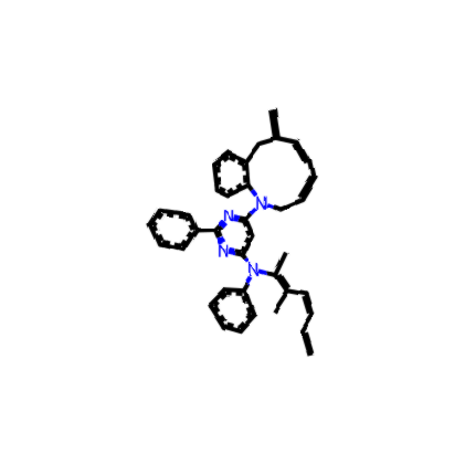 C=C/C=C\C(C)=C(/C)N(c1ccccc1)c1cc(N2C/C=C\C=C/C(=C)Cc3ccccc32)nc(-c2ccccc2)n1